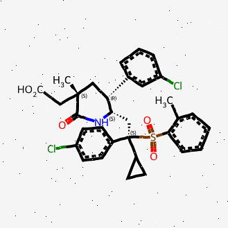 Cc1ccccc1S(=O)(=O)[C@](C[C@@H]1NC(=O)[C@](C)(CC(=O)O)C[C@@H]1c1cccc(Cl)c1)(c1ccc(Cl)cc1)C1CC1